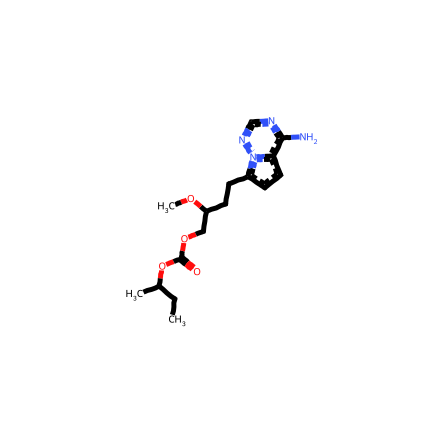 CCC(C)OC(=O)OCC(CCc1ccc2c(N)ncnn12)OC